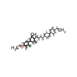 C=CC1CCC(C2CCC(CCCCc3c(C)cc(-c4ccc(OCC)c(F)c4F)cc3F)CC2)CC1